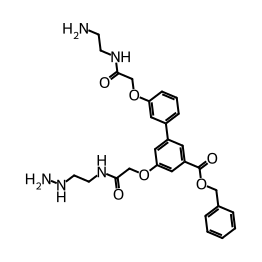 NCCNC(=O)COc1cccc(-c2cc(OCC(=O)NCCNN)cc(C(=O)OCc3ccccc3)c2)c1